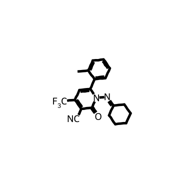 Cc1ccccc1-c1cc(C(F)(F)F)c(C#N)c(=O)n1N=C1CCCCC1